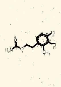 Cc1c(CCOC(N)=O)ccc(Cl)c1Cl